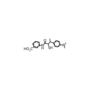 CC(c1ccc(N(C)C)cc1)C(S)C(=O)Nc1cccc(C(=O)O)c1